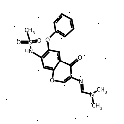 CN(C)/C=N/c1coc2cc(NS(C)(=O)=O)c(Oc3ccccc3)cc2c1=O